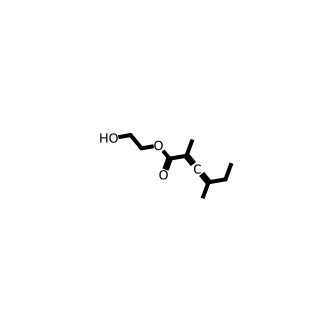 CCC(C)=C=C(C)C(=O)OCCO